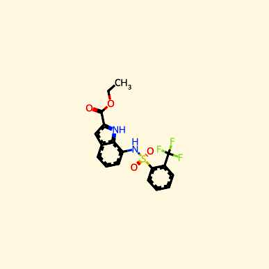 CCOC(=O)c1cc2cccc(NS(=O)(=O)c3ccccc3C(F)(F)F)c2[nH]1